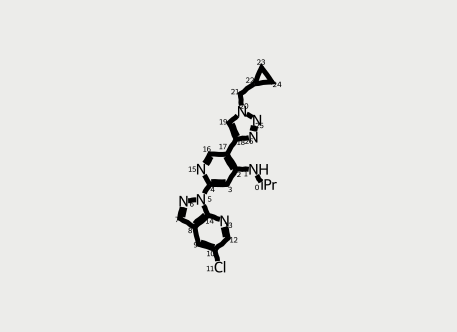 CC(C)Nc1cc(-n2ncc3cc(Cl)cnc32)ncc1-c1cn(CC2CC2)nn1